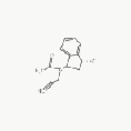 C#CCN(C(=O)C(F)(F)F)[C@@H]1C[C@@H](F)c2ccccc21